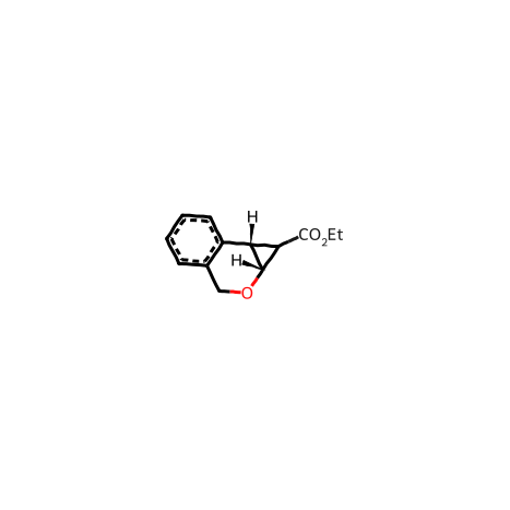 CCOC(=O)C1[C@H]2c3ccccc3CO[C@@H]12